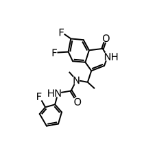 CC(c1c[nH]c(=O)c2cc(F)c(F)cc12)N(C)C(=O)Nc1ccccc1F